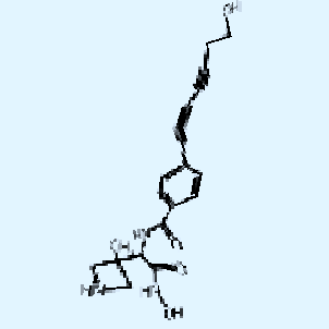 CC1(C(NC(=O)c2ccc(C#CC#CCCO)cc2)C(=O)NO)CNC1